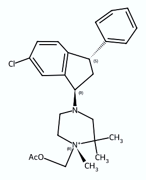 CC(=O)OC[N@+]1(C)CCN([C@@H]2C[C@@H](c3ccccc3)c3ccc(Cl)cc32)CC1(C)C